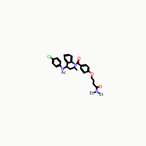 CCN(CC)C(=O)CCCOc1ccc(C(=O)N2c3ccccc3C(N(C(C)=O)c3ccc(Cl)cc3)CC2C)cc1